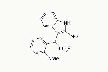 CCOC(=O)C(c1ccccc1NC)c1c(N=O)[nH]c2ccccc12